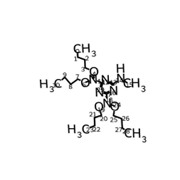 CCCCON(OCCCC)c1nc(NC)nc(N(OCCCC)OCCCC)n1